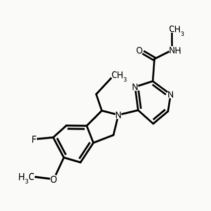 CCC1c2cc(F)c(OC)cc2CN1c1ccnc(C(=O)NC)n1